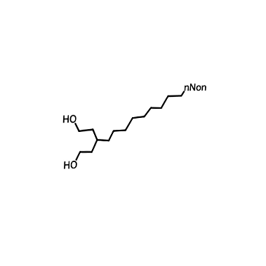 CCCCCCCCCCCCCCCCCCC(CCO)CCO